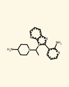 CC(N1CCC(N)CC1)n1c(-c2cccnc2N)nc2cccnc21